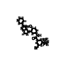 COc1ccc(NC(=O)c2cc(Br)cc(S(F)(F)(F)(F)F)c2)cc1-n1ccn2nc(-c3cccnc3)cc12